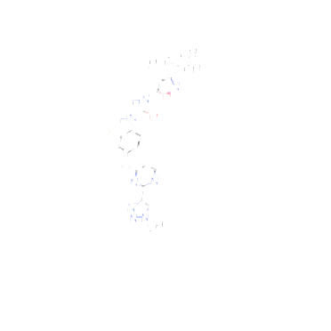 Cn1cc(-c2nccc(Oc3ccc(NC(=O)Nc4cc(C(C)(C)C)no4)c(F)c3)n2)nn1